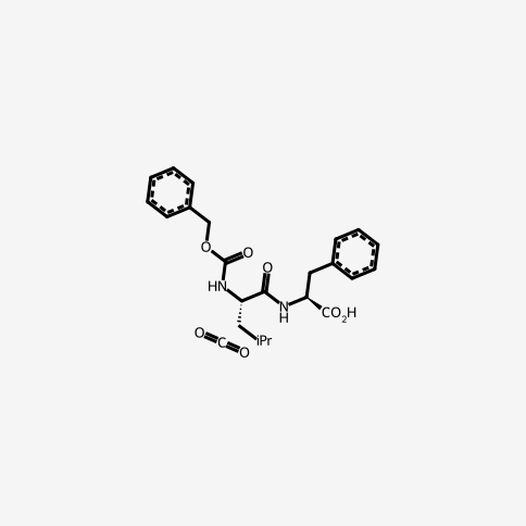 CC(C)C[C@H](NC(=O)OCc1ccccc1)C(=O)N[C@@H](Cc1ccccc1)C(=O)O.O=C=O